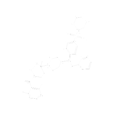 Cc1ncnc(C)c1C(=O)N1CCC(C)(N2CCC(N(Cc3ccccc3)c3ccc(S(=O)(=O)N4CCOCC4)cc3)CC2)CC1